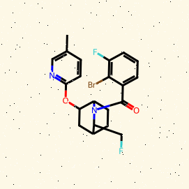 Cc1ccc(OC2CC3CCC2N(C(=O)c2cccc(F)c2Br)C3CF)nc1